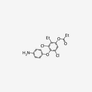 CCC(=O)Oc1cc(Cl)c(Oc2ccc(N)cc2)c(Cl)c1CC